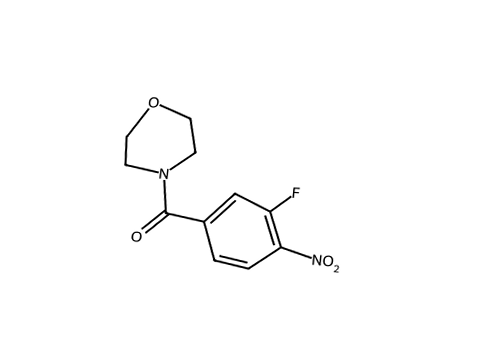 O=C(c1ccc([N+](=O)[O-])c(F)c1)N1CCOCC1